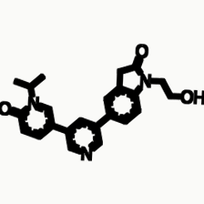 CC(C)n1cc(-c2cncc(-c3ccc4c(c3)CC(=O)N4CCO)c2)ccc1=O